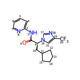 O=C(Nc1cc[c]cn1)[C@H](CC1CCCC1)n1cnc(C(F)(F)F)c1